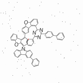 c1ccc(-c2ccc(-c3nc(-c4ccccc4)nc(-c4cccc5oc6ccc(-c7ccc(-n8c9ccccc9c9cc(-c%10ccccc%10)ccc98)c8oc9ccccc9c78)cc6c45)n3)cc2)cc1